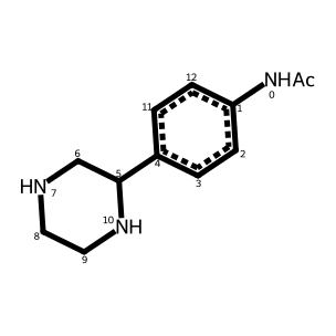 CC(=O)Nc1ccc(C2CNCCN2)cc1